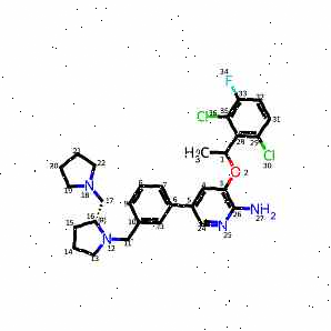 CC(Oc1cc(-c2cccc([CH]N3CCC[C@@H]3CN3CCCC3)c2)cnc1N)c1c(Cl)ccc(F)c1Cl